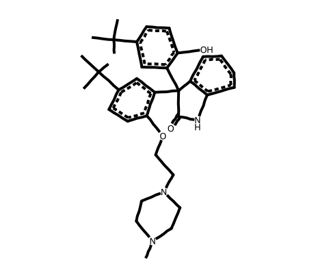 CN1CCN(CCOc2ccc(C(C)(C)C)cc2C2(c3cc(C(C)(C)C)ccc3O)C(=O)Nc3ccccc32)CC1